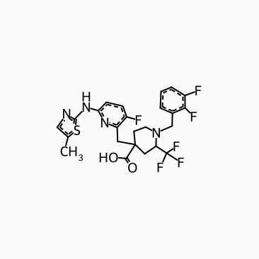 Cc1cnc(Nc2ccc(F)c(CC3(C(=O)O)CCN(Cc4cccc(F)c4F)C(C(F)(F)F)C3)n2)s1